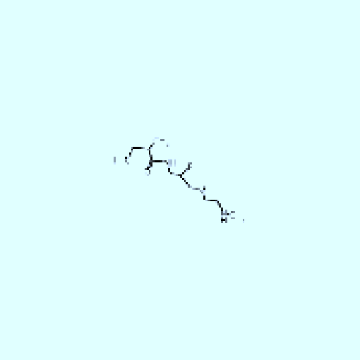 CCC(C)C(=O)NCC(F)COCCNC